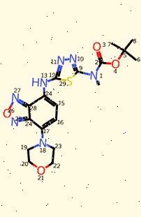 CN(C(=O)OC(C)(C)C)c1nnc(Nc2ccc(N3CCOCC3)c3nonc23)s1